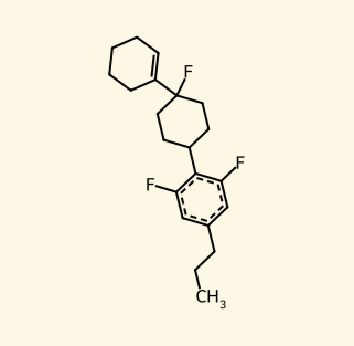 CCCc1cc(F)c(C2CCC(F)(C3=CCCCC3)CC2)c(F)c1